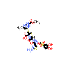 COC(=O)c1nc2nc(C)cc(SCC3=C(C(=O)O)N4C(=O)[C@@H](NC(=O)C(=NOCS(=O)(=O)c5ccc(O)c(O)c5)c5csc(N)n5)[C@H]4SC3)n2n1